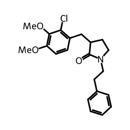 COc1ccc(CC2CCN(CCc3ccccc3)C2=O)c(Cl)c1OC